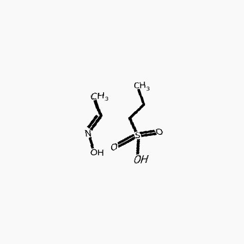 CC=NO.CCCS(=O)(=O)O